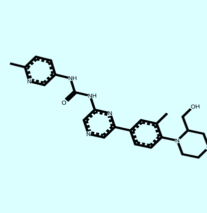 Cc1ccc(NC(=O)Nc2cncc(-c3ccc(N4CCOCC4CO)c(C)c3)n2)cn1